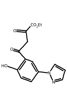 CCOC(=O)C(=O)CC(=O)c1cc(-n2cccn2)ccc1O